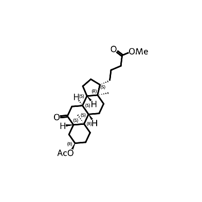 COC(=O)CCC[C@H]1CC[C@H]2[C@@H]3CC(=O)[C@H]4C[C@H](OC(C)=O)CC[C@]4(C)[C@H]3CC[C@]12C